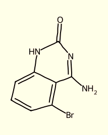 Nc1nc(=O)[nH]c2cccc(Br)c12